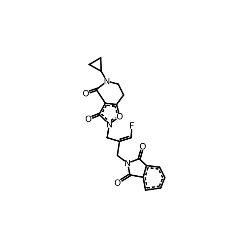 O=C1c2ccccc2C(=O)N1CC(=CF)Cn1oc2c(c1=O)C(=O)N(C1CC1)CC2